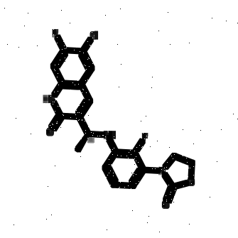 C[C@H](Nc1cccc(N2CCOC2=O)c1F)c1cc2cc(Cl)c(F)cc2[nH]c1=O